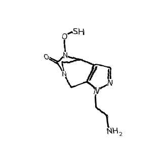 NCCn1ncc2c1CN1CC2N(OS)C1=O